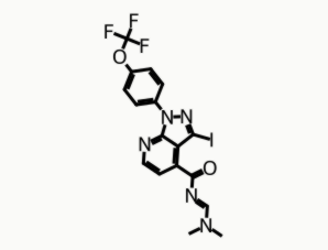 CN(C)/C=N/C(=O)c1ccnc2c1c(I)nn2-c1ccc(OC(F)(F)F)cc1